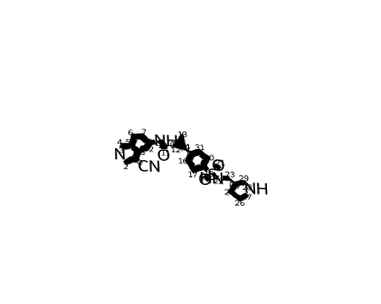 N#Cc1cncc2ccc(NC(=O)[C@@H]3C[C@H]3c3ccc(S(=O)(=O)NC[C@@H]4CCCNC4)cc3)cc12